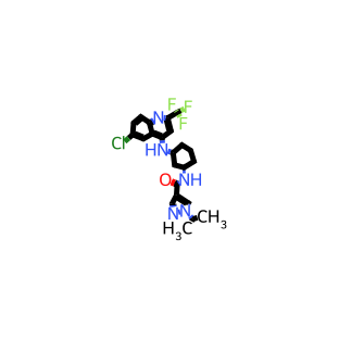 CC(C)n1cc(C(=O)N[C@@H]2CCCC(Nc3cc(C(F)(F)F)nc4ccc(Cl)cc34)C2)cn1